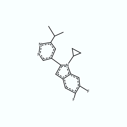 CC(C)c1cc(-c2cc3cc(F)c(F)cc3n2C2CC2)cnn1